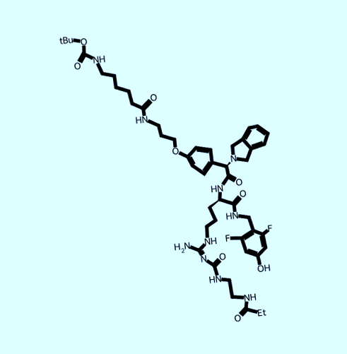 CCC(=O)NCCNC(=O)/N=C(/N)NCCC[C@@H](NC(=O)[C@H](c1ccc(OCCCNC(=O)CCCCCNC(=O)OC(C)(C)C)cc1)N1Cc2ccccc2C1)C(=O)NCc1c(F)cc(O)cc1F